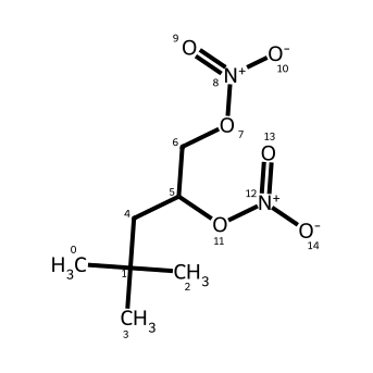 CC(C)(C)CC(CO[N+](=O)[O-])O[N+](=O)[O-]